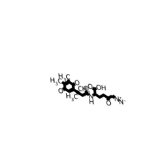 CC1=C(C)C(=O)C(C(C)(C)CC(=O)NC(CCC(=O)C=[N+]=[N-])C(=O)O)=CC1=O